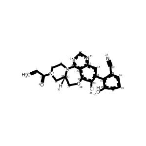 C=CC(=O)N1CCN2c3ncnc4cc(-c5c(O)cccc5C#N)c(Cl)c(c34)OC[C@@H]2C1